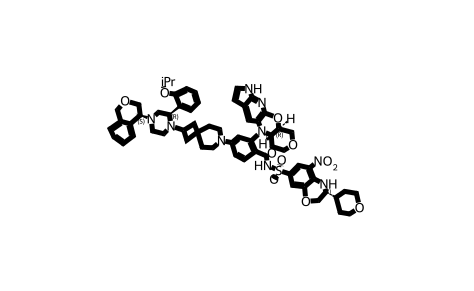 CC(C)Oc1ccccc1[C@@H]1CN([C@@H]2COCc3ccccc32)CCN1C1CC2(CCN(c3ccc(C(=O)NS(=O)(=O)c4cc5c(c([N+](=O)[O-])c4)N[C@H](C4CCOCC4)CO5)c(N4c5cc6cc[nH]c6nc5O[C@H]5COCC[C@@H]54)c3)CC2)C1